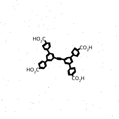 O=C(O)c1ccc(-c2cc(C#Cc3cc(-c4ccc(C(=O)O)cc4)cc(-c4ccc(C(=O)O)cc4)c3)cc(-c3ccc(C(=O)O)cc3)c2)cc1